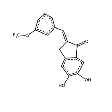 O=C1/C(=C/c2cccc(OC(F)(F)F)c2)Cc2cc(O)c(O)cc21